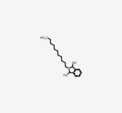 O=C(O)CCCCCCCCCCN1C(O)c2ccccc2C1O